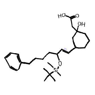 CC(C)(C)[Si](C)(C)OC(/C=C/C1CCCC(O)(CC(=O)O)C1)CCCCc1ccccc1